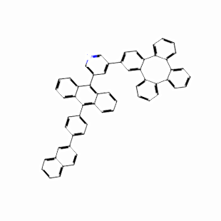 c1ccc2c(c1)-c1ccccc1-c1ccc(-c3cncc(-c4c5ccccc5c(-c5ccc(-c6ccc7ccccc7c6)cc5)c5ccccc45)c3)cc1-c1ccccc1-2